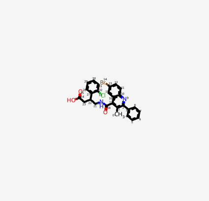 Cc1c(-c2ccccc2)nc2ccc(Br)cc2c1C(=O)NCC(CC(=O)O)c1ccccc1Cl